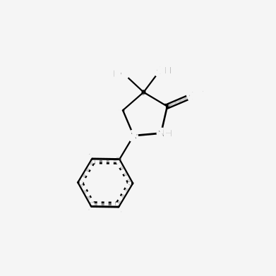 CC1(O)CN(c2ccccc2)NC1=O